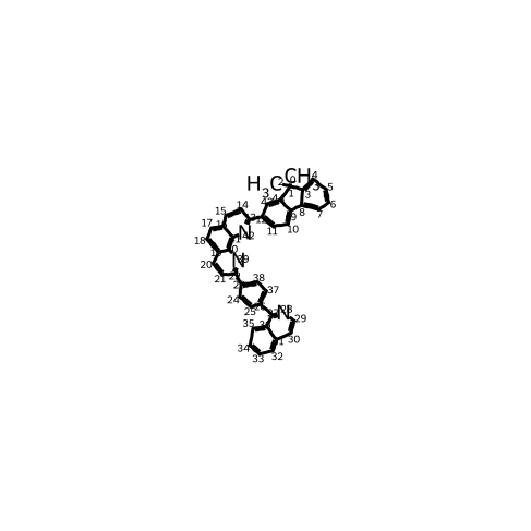 CC1(C)c2ccccc2-c2ccc(-c3ccc4ccc5ccc(-c6ccc(-c7nccc8ccccc78)cc6)nc5c4n3)cc21